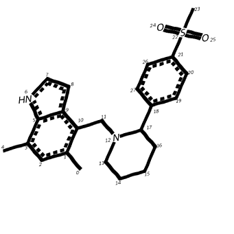 Cc1cc(C)c2[nH]ccc2c1CN1CCCCC1c1ccc(S(C)(=O)=O)cc1